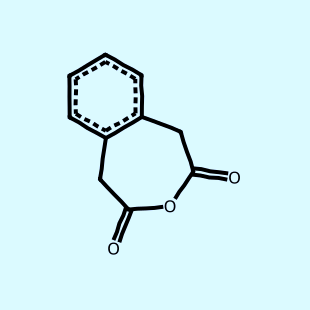 O=C1Cc2ccccc2CC(=O)O1